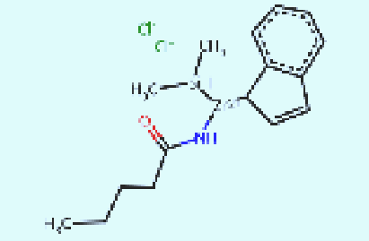 CCCCC(=O)[NH][Zr+2]([CH]1C=Cc2ccccc21)[SiH](C)C.[Cl-].[Cl-]